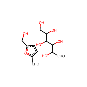 O=CC(O)C(O)C(O)C(O)CO.O=Cc1ccc(CO)o1